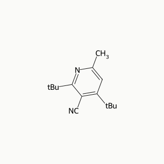 Cc1cc(C(C)(C)C)c(C#N)c(C(C)(C)C)n1